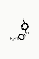 N[C@H]1CC[C@H](Nc2ccc(I)cn2)C1